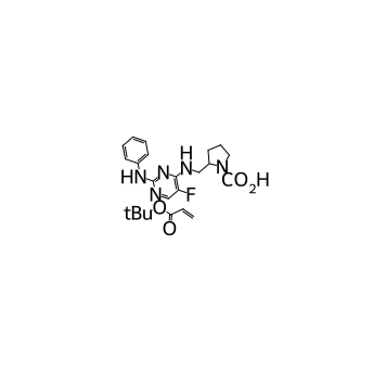 C=CC(=O)OC(C)(C)C.O=C(O)N1CCCC1CNc1nc(Nc2ccccc2)ncc1F